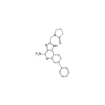 Nc1nc2cc(-c3ccccc3)ccc2c2[nH]c(CN3CCCC3=O)nc12